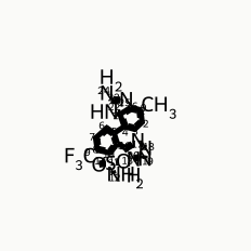 Cc1ccc(-c2ccc(C(F)(F)F)c(S(N)(=O)=O)c2-c2nnn[nH]2)c2[nH]c(N)nc12